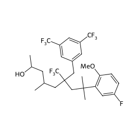 COc1ccc(F)cc1C(C)(C)CC(Cc1cc(C(F)(F)F)cc(C(F)(F)F)c1)(CC(C)CC(C)O)C(F)(F)F